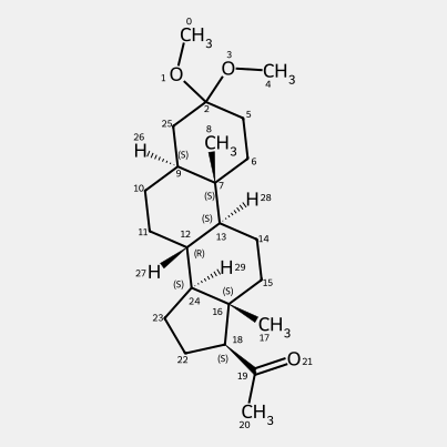 COC1(OC)CC[C@@]2(C)[C@@H](CC[C@@H]3[C@@H]2CC[C@]2(C)[C@@H](C(C)=O)CC[C@@H]32)C1